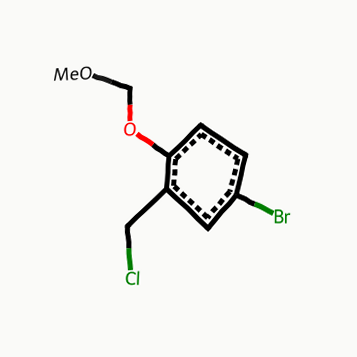 COCOc1ccc(Br)cc1CCl